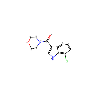 O=C(c1c[nH]c2c(Cl)cccc12)N1CCOCC1